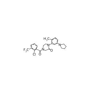 Cc1ccc(N2CCCC2)cc1N1CCN(C(=O)c2cccc(C(F)(F)F)c2Cl)CC1=O